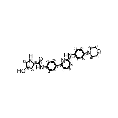 O=C(Nc1ccc(-c2ccnc(Nc3ccc(N4CCOCC4)cc3)n2)cc1)C1C[C@H](O)CN1